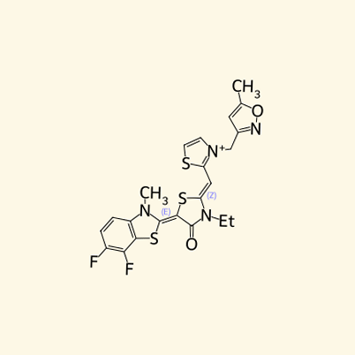 CCn1c(=O)/c(=C2\Sc3c(ccc(F)c3F)N2C)s/c1=C\c1scc[n+]1Cc1cc(C)on1